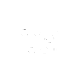 Cc1noc([C@@H](Cc2ccc(-c3ccc(F)c(Cl)c3)cc2)NC(=O)c2cc(-c3ccc(C(F)(F)F)cc3)ccc2N)n1